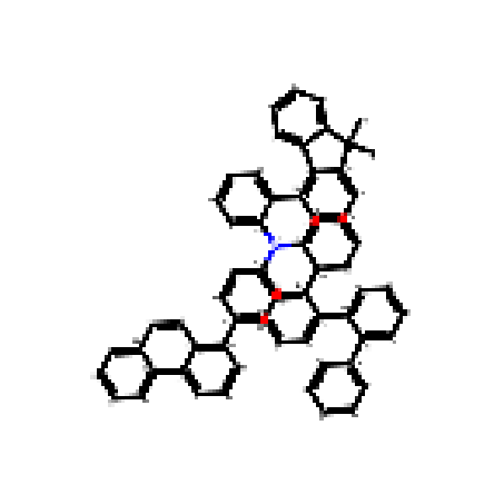 CC1(C)c2ccccc2-c2c(-c3ccccc3N(C3=CC=CCC3c3ccccc3-c3ccccc3-c3ccccc3)c3ccc(-c4cccc5c4ccc4ccccc45)cc3)cccc21